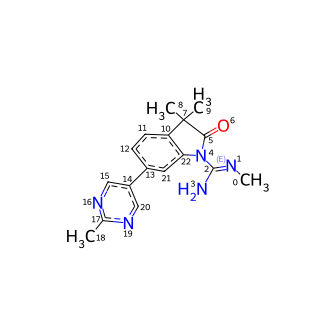 C/N=C(\N)N1C(=O)C(C)(C)c2ccc(-c3cnc(C)nc3)cc21